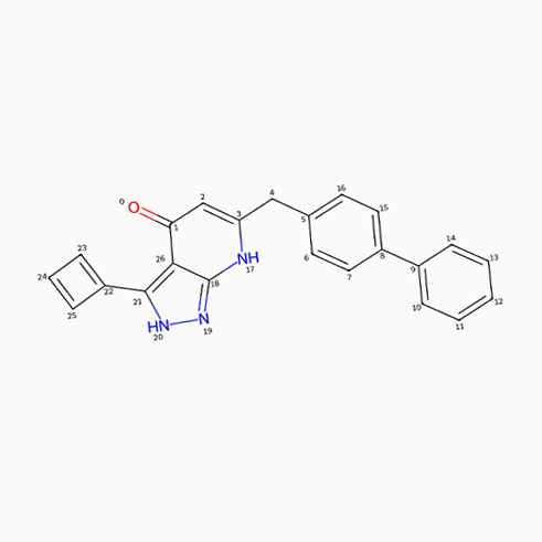 O=c1cc(Cc2ccc(-c3ccccc3)cc2)[nH]c2n[nH]c(C3=CC=C3)c12